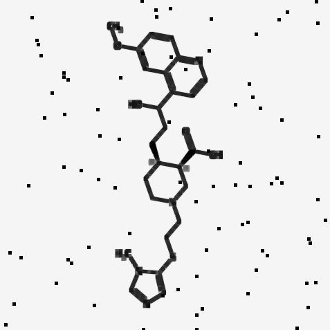 COc1ccc2nccc(C(O)CC[C@@H]3CCN(CCSc4cncn4C)C[C@@H]3C(=O)O)c2c1